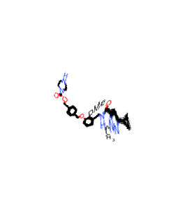 COc1c(CNC(=O)c2cc(C3CC3)nn2C)cccc1OCc1ccc(COC(=O)N2CCNCC2)cc1